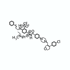 CC(C)N(C)CC[C@H](CSc1ccccc1)Nc1ccc(S(=O)(=O)NC(=O)c2ccc(N3CCN(CC4=C(c5ccc(Cl)cc5)CCOC4)CC3)cc2)cc1S(=O)(=O)C(F)(F)F